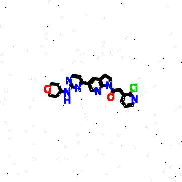 O=C(Cc1cccnc1Cl)N1CCc2cc(-c3ccnc(NC4CCOCC4)n3)cnc21